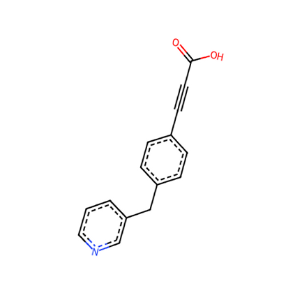 O=C(O)C#Cc1ccc(Cc2cccnc2)cc1